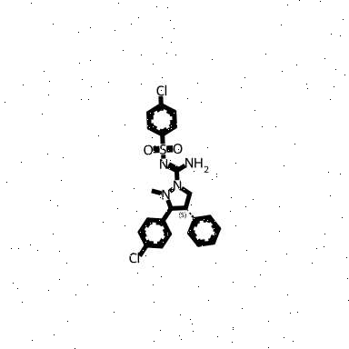 CN1C(c2ccc(Cl)cc2)[C@@H](c2ccccc2)CN1C(N)=NS(=O)(=O)c1ccc(Cl)cc1